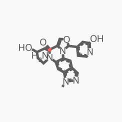 Cn1ncc2cc(N3C(C(N)=O)=COC3c3ccnc(O)c3)c(N3CCC(O)CC3)cc21